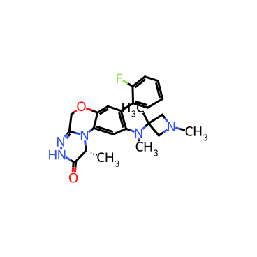 C[C@@H]1C(=O)NN=C2COc3cc(-c4ccccc4F)c(N(C)C4(C)CN(C)C4)cc3N21